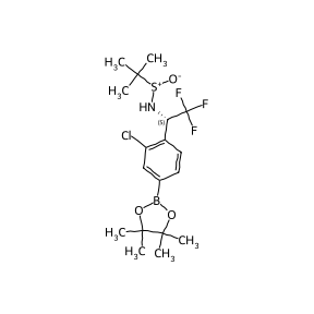 CC(C)(C)[S+]([O-])N[C@@H](c1ccc(B2OC(C)(C)C(C)(C)O2)cc1Cl)C(F)(F)F